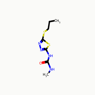 CCCSc1nnc(NC(=O)NC)s1